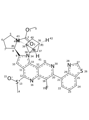 COC(=O)N1CCC[C@@H]1c1cc2c([S+](C)[O-])nc3c(F)c(-c4cccc5scnc45)ncc3c2n1[C@@H]1[C@@H]2CC[C@H]1C2